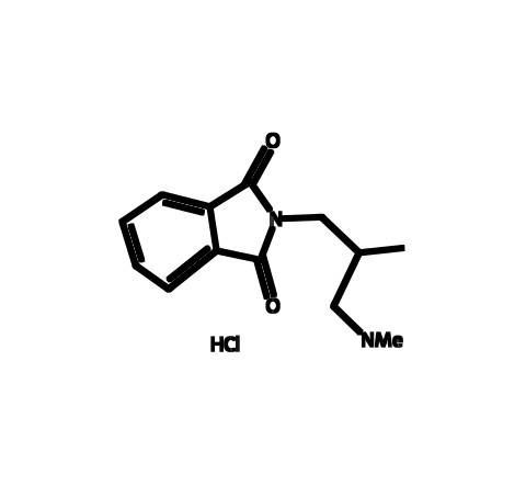 CNCC(C)CN1C(=O)c2ccccc2C1=O.Cl